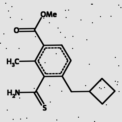 COC(=O)c1ccc(CC2CCC2)c(C(N)=S)c1C